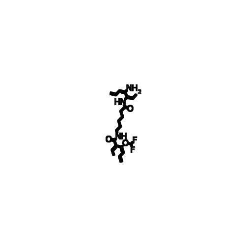 C=C/C=C(N)\C(=C/C)NC(=O)CCCCCNC(=O)C(=C/C)/C(=C\C=C)OC(F)F